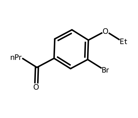 CCCC(=O)c1ccc(OCC)c(Br)c1